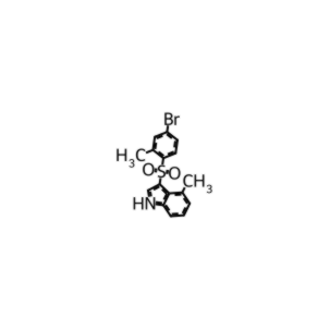 Cc1cc(Br)ccc1S(=O)(=O)c1c[nH]c2cccc(C)c12